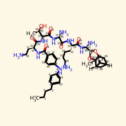 CCCCc1ccc(Nc2ccc(C(=O)N[C@@H](CCN)C(=O)N[C@H](C(=O)N[C@@H](N)C(=O)N[C@@H](CCCCN)C(=O)N[C@@H](N)B3OC4C[C@@H]5C[C@@H](C5(C)C)[C@]4(C)O3)[C@@H](C)O)cc2)cc1